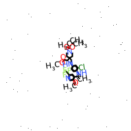 CCOC(=O)CC1(CNc2ccc(N[C@@H](C)c3cc(C(F)(F)F)ncc3OC)c(Cl)c2)CCN(C(=O)OC(C)(C)C)CC1